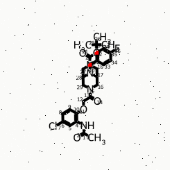 CC(=O)Nc1cc(Cl)ccc1OCC(=O)N1CC2CN(C(=O)OC(C)(C)C)CC(C1)N2Cc1ccc(F)cc1